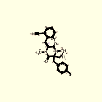 CCC1(Cc2ccc(F)cc2)C(=O)N(C)/C(=C/c2c(F)cccc2C#N)C(=O)N1C